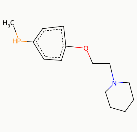 CPc1ccc(OCCN2CCCCC2)cc1